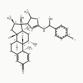 CC1SC(NC(O)c2ccc(F)cc2)=NC1[C@@]1(O)[C@H](C)C[C@H]2[C@@H]3CCC4=CC(=O)C=C[C@]4(C)[C@@]3(F)[C@@H](O)C[C@@]21C